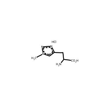 Cl.Cn1cc(CC(N)C(=O)O)nn1